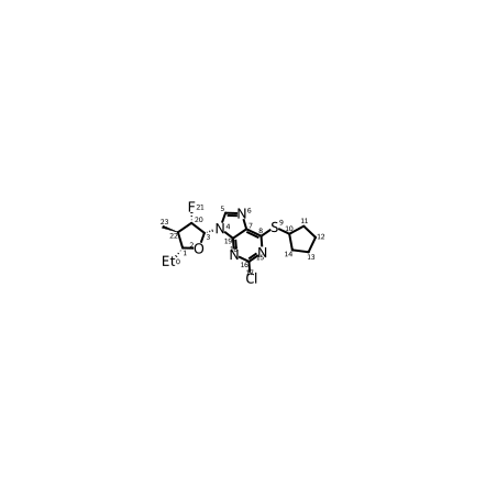 CC[C@H]1O[C@@H](n2cnc3c(SC4CCCC4)nc(Cl)nc32)[C@@H](F)[C@@H]1C